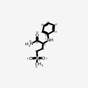 CS(=O)(=O)CCC(Nc1ccccc1)C(N)=O